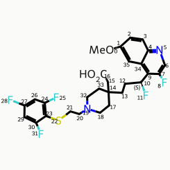 COc1ccc2ncc(F)c([C@@H](F)CCC3(CC(=O)O)CCN(CCSc4c(F)cc(F)cc4F)CC3)c2c1